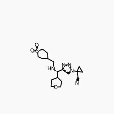 N#CC1(n2cc([C@@H](NCC3CCS(=O)(=O)CC3)C3CCCCC3)nn2)CC1